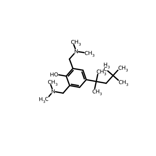 CN(C)Cc1cc(C(C)(C)CC(C)(C)C)cc(CN(C)C)c1O